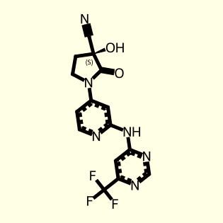 N#C[C@@]1(O)CCN(c2ccnc(Nc3cc(C(F)(F)F)ncn3)c2)C1=O